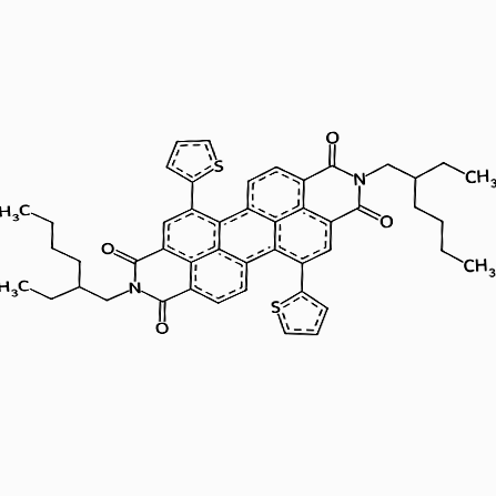 CCCCC(CC)CN1C(=O)c2ccc3c4c(-c5cccs5)cc5c6c(ccc(c7c(-c8cccs8)cc(c2c37)C1=O)c64)C(=O)N(CC(CC)CCCC)C5=O